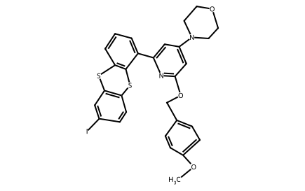 COc1ccc(COc2cc(N3CCOCC3)cc(-c3cccc4c3Sc3ccc(I)cc3S4)n2)cc1